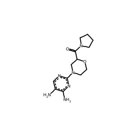 Nc1cnc(N2CCOC(C(=O)N3CCCC3)C2)nc1N